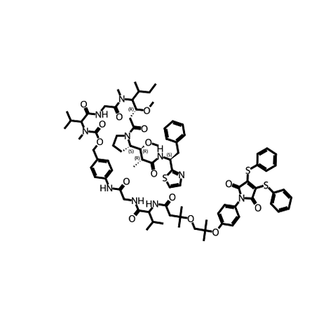 CCC(C)C([C@@H](CC(=O)N1CCC[C@H]1[C@H](OC)[C@@H](C)C(=O)N[C@@H](Cc1ccccc1)c1nccs1)OC)N(C)C(=O)CNC(=O)C(C(C)C)N(C)C(=O)OCc1ccc(NC(=O)CNC(=O)C(NC(=O)CC(C)(C)OCC(C)(C)Oc2ccc(N3C(=O)C(Sc4ccccc4)=C(Sc4ccccc4)C3=O)cc2)C(C)C)cc1